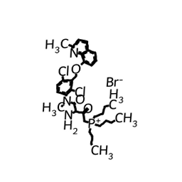 CCCC[P+](CCCC)(CCCC)CC(=O)C(N)C(=O)N(C)c1ccc(Cl)c(COc2cccc3ccc(C)nc23)c1Cl.[Br-]